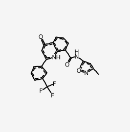 Cc1cc(NC(=O)c2cccc3c(=O)cc(-c4cccc(C(F)(F)F)c4)[nH]c23)on1